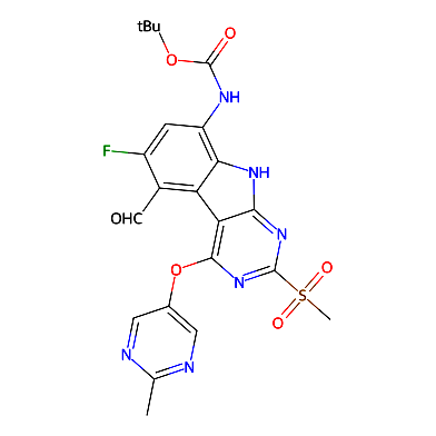 Cc1ncc(Oc2nc(S(C)(=O)=O)nc3[nH]c4c(NC(=O)OC(C)(C)C)cc(F)c(C=O)c4c23)cn1